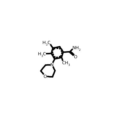 Cc1cc(C(N)=O)c(C)c(N2CCOCC2)c1C